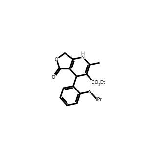 CCOC(=O)C1=C(C)NC2=C(C(=O)OC2)C1c1ccccc1SC(C)C